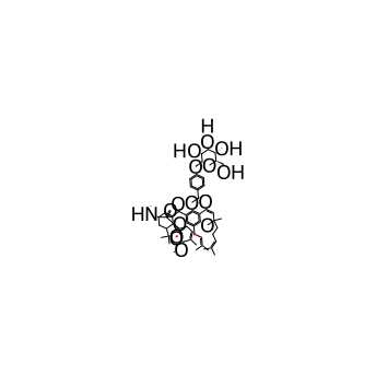 CNC12CC3C(=O)c4c(OC(=O)c5ccc(O[C@@H]6O[C@H](CO)[C@@H](O)[C@H](O)[C@H]6O)cc5)c5c(c(CC=C(C)C)c4OC34C(C1)C(C)(C)OC4(C/C=C(/C)C(=O)OC)C2=O)OC(C)(CCC=C(C)C)C=C5